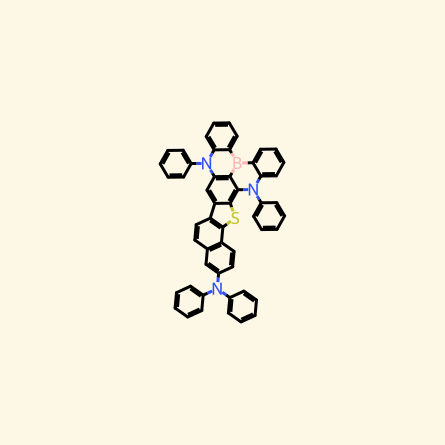 c1ccc(N(c2ccccc2)c2ccc3c(ccc4c5cc6c7c(c5sc34)N(c3ccccc3)c3ccccc3B7c3ccccc3N6c3ccccc3)c2)cc1